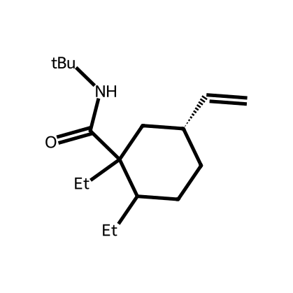 C=C[C@@H]1CCC(CC)C(CC)(C(=O)NC(C)(C)C)C1